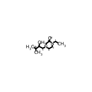 CCN1CCN(CC(O)C(C)C)CC1=O